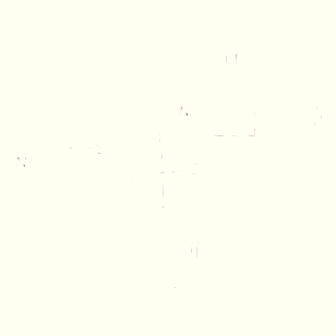 N#CSCC1(c2ccccc2)CN=C(c2ccccc2Cl)S1